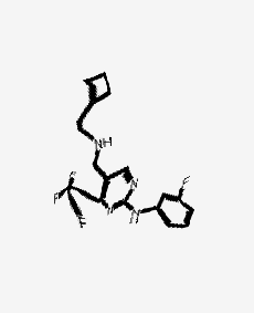 Fc1cccc(Nc2ncc(CNCC3CCC3)c(C(F)(F)F)n2)c1